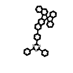 c1ccc(-c2nc(-c3ccccc3)nc(-c3ccc(-c4ccc5cc6c(cc5c4)C4(c5ccccc5-c5ccccc54)c4ccc5ccccc5c4-6)cc3)n2)cc1